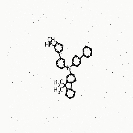 CPc1cccc(-c2cccc(N(c3ccc(-c4ccccc4)cc3)c3ccc4c(c3)C(C)(C)c3ccccc3-4)c2)c1